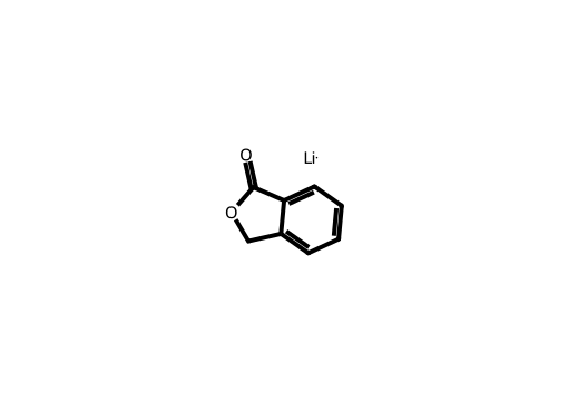 O=C1OCc2ccccc21.[Li]